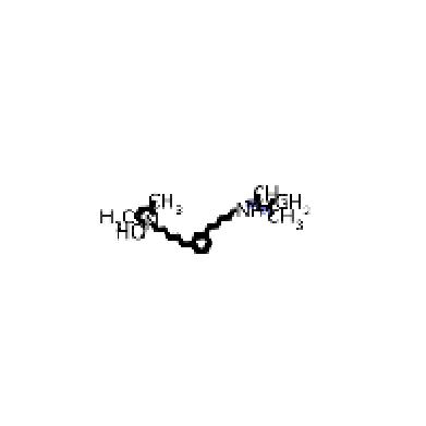 C=C/C(C)=C\C(C)=C/NCCCCCc1cccc(CCCCCN2C=C(C)C=C(C)C2O)c1